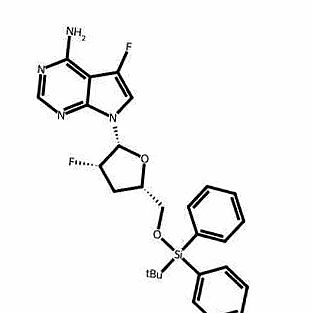 CC(C)(C)[Si](OC[C@@H]1C[C@H](F)[C@H](n2cc(F)c3c(N)ncnc32)O1)(c1ccccc1)c1ccccc1